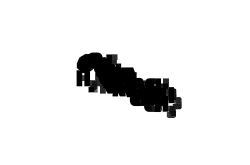 C[C@@H]1CN(C(C)(C)/C=C(/C#N)C(=O)N2CCC[C@@H](n3nc(-c4ccc(Oc5ccccc5)cc4F)c4c(N)ncnc43)C2)C[C@H](C)N1C